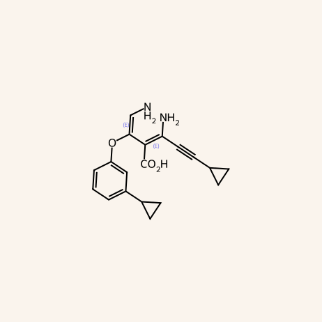 N/C=C(Oc1cccc(C2CC2)c1)\C(C(=O)O)=C(/N)C#CC1CC1